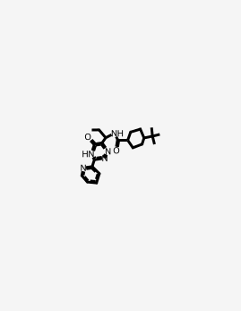 CCC(NC(=O)C1CCC(C(C)(C)C)CC1)c1nnc(-c2ccccn2)[nH]c1=O